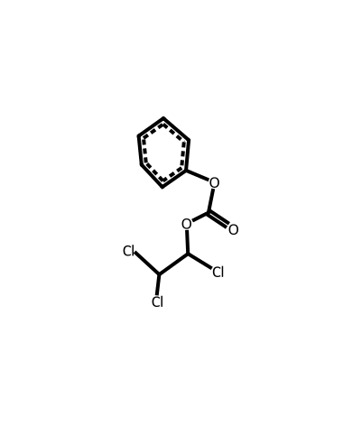 O=C(Oc1ccccc1)OC(Cl)C(Cl)Cl